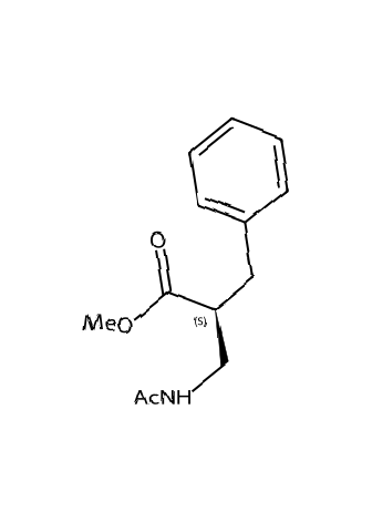 COC(=O)[C@H](CNC(C)=O)Cc1ccccc1